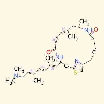 CC(/C=C/C(C)=C/C1Cc2nc(cs2)CCCCC(=O)NC(C)C/C(C)=C/C=C\C(=O)N1)=C\CN(C)C